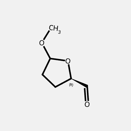 COC1CC[C@H](C=O)O1